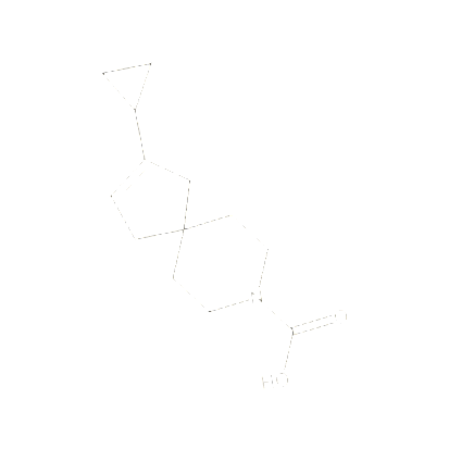 O=C(O)N1CCC2(CC=C(C3CC3)C2)CC1